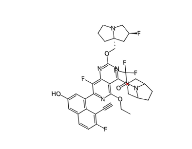 C#Cc1c(F)ccc2cc(O)cc(-c3nc(OCC)c4c(N5CC6CCC(C5)N6C(=O)C(F)(F)F)nc(OC[C@]56CCCN5C[C@@H](F)C6)nc4c3F)c12